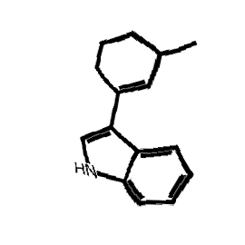 CC1C=C(c2c[nH]c3ccccc23)CCC1